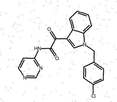 O=C(Nc1ccncn1)C(=O)c1cn(Cc2ccc(Cl)cc2)c2ccccc12